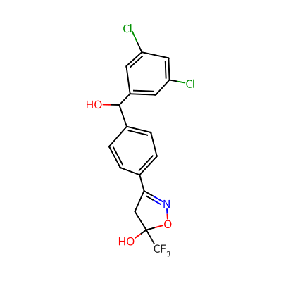 OC(c1ccc(C2=NOC(O)(C(F)(F)F)C2)cc1)c1cc(Cl)cc(Cl)c1